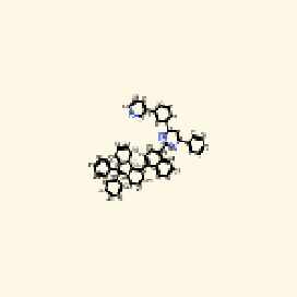 c1ccc(-c2cc(-c3cccc(-c4cccnc4)c3)nc(-c3ccc(-c4cccc5c4-c4ccccc4C5(c4ccccc4)c4ccccc4)c4ccccc34)n2)cc1